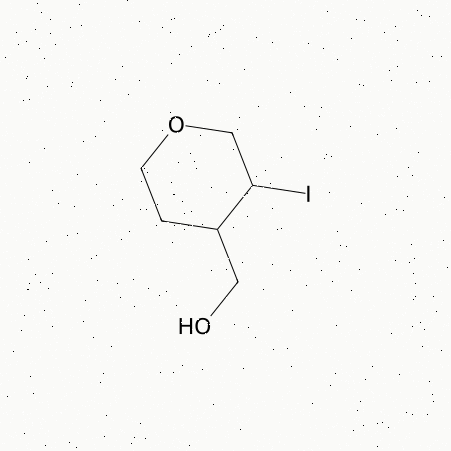 OCC1CCOCC1I